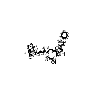 CC[C@H](OC(C)=O)[C@@H](C)[C@H]1O[C@@H]1C[C@@](C)(O)/C=C/C=C(\C)[C@H]1OC(=O)C[C@H](O)CC[C@@](C)(O)[C@@H](OC(=O)N2CCN(C3CCCCCC3)CC2)/C=C/[C@@H]1C